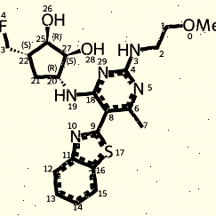 COCCNc1nc(C)c(-c2nc3ccccc3s2)c(N[C@@H]2C[C@H](CF)[C@@H](O)[C@H]2O)n1